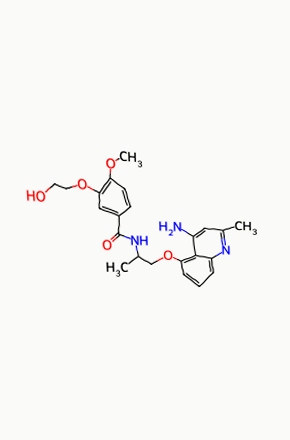 COc1ccc(C(=O)NC(C)COc2cccc3nc(C)cc(N)c23)cc1OCCO